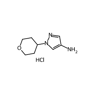 Cl.Nc1cnn(C2CCOCC2)c1